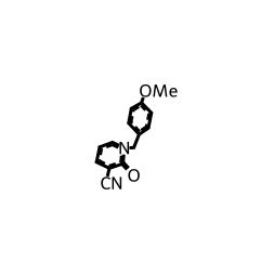 COc1ccc(Cn2cccc(C#N)c2=O)cc1